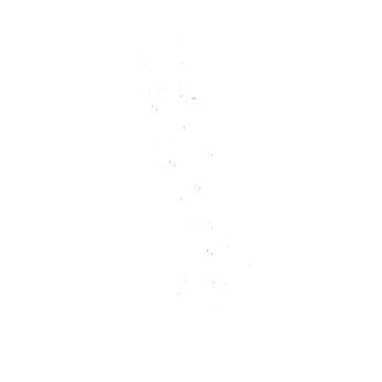 O=C(O)COc1ccc(N2CC3(CCN(c4ccc(-c5nc6cc(C(F)(F)F)ccc6[nH]5)cn4)CC3)OC2=O)cc1